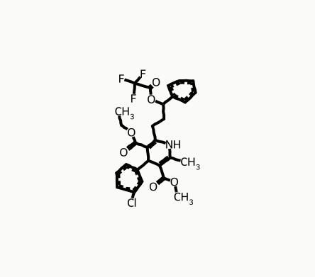 CCOC(=O)C1=C(CCC(OC(=O)C(F)(F)F)c2ccccc2)NC(C)=C(C(=O)OC)C1c1cccc(Cl)c1